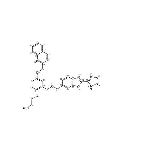 N#CCCOc1ccc(OCc2ccc3ccccc3n2)cc1COCc1ccc2nc(-c3nnn[nH]3)oc2c1